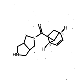 O=C(C1C[C@H]2C=C[C@@H]1CC2)N1CC2CNCC2C1